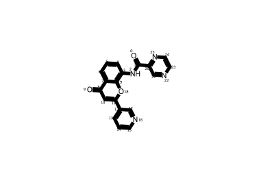 O=C(Nc1cccc2c(=O)cc(-c3cccnc3)oc12)c1cnccn1